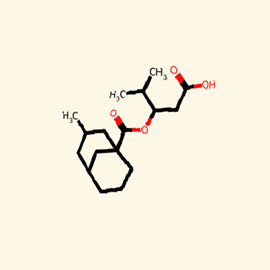 CC1CC2CCCC(C(=O)OC(CC(=O)O)C(C)C)(C1)C2